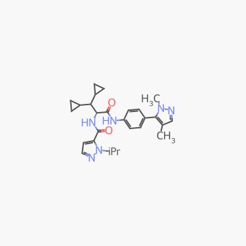 Cc1cnn(C)c1-c1ccc(NC(=O)[C@@H](NC(=O)c2ccnn2C(C)C)C(C2CC2)C2CC2)cc1